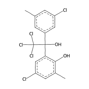 Cc1cc(Cl)cc(C(O)(c2cc(Cl)cc(C)c2O)C(Cl)(Cl)Cl)c1